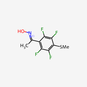 CSc1c(F)c(F)c(/C(C)=N/O)c(F)c1F